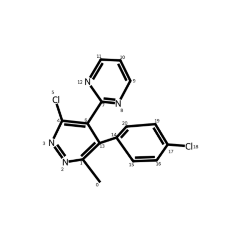 Cc1nnc(Cl)c(-c2ncccn2)c1-c1ccc(Cl)cc1